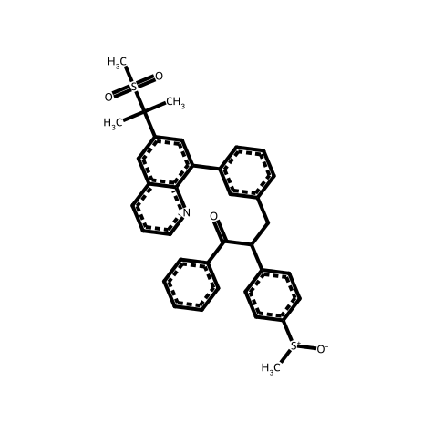 C[S+]([O-])c1ccc(C(Cc2cccc(-c3cc(C(C)(C)S(C)(=O)=O)cc4cccnc34)c2)C(=O)c2ccccc2)cc1